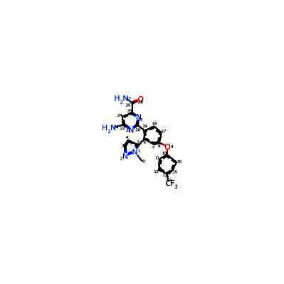 Cn1nccc1-c1cc(Oc2ccc(C(F)(F)F)cc2)ccc1-c1nc(N)cc(C(N)=O)n1